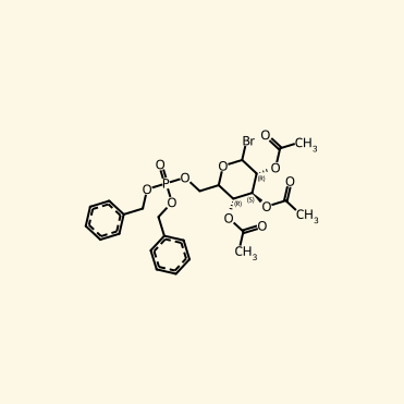 CC(=O)O[C@H]1[C@H](OC(C)=O)C(COP(=O)(OCc2ccccc2)OCc2ccccc2)OC(Br)[C@@H]1OC(C)=O